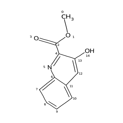 COC(=O)c1nc2ccccc2cc1O